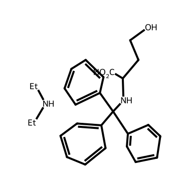 CCNCC.O=C(O)C(CCO)NC(c1ccccc1)(c1ccccc1)c1ccccc1